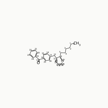 CCCCCCc1nnnnc1Cc1ccc(C(=O)c2ccccc2)cc1